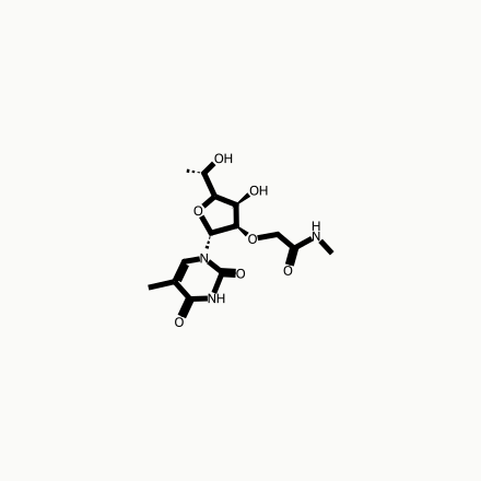 CNC(=O)CO[C@@H]1[C@H](O)C([C@H](C)O)O[C@H]1n1cc(C)c(=O)[nH]c1=O